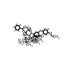 CCOc1ccc(Cc2cc([C@@H]3O[C@@H]4COC(c5ccccc5)O[C@H]4[C@H](O[Si](C)(C)C(C)(C)C)[C@H]3O[Si](C)(C)C(C)(C)C)ccc2Cl)cc1